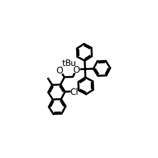 [CH2]C(C)(C)OC(COC(c1ccccc1)(c1ccccc1)c1ccccc1)c1c(C)cc2ccccc2c1Cl